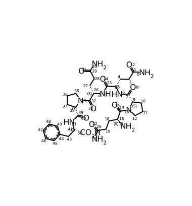 NC(=O)CC[C@H](NC(=O)[C@@H]1CCCN1C(=O)[C@@H](N)CCC(N)=O)C(=O)N[C@@H](CCC(N)=O)C(=O)N1CCC[C@H]1C(=O)N[C@@H](Cc1ccccc1)C(=O)O